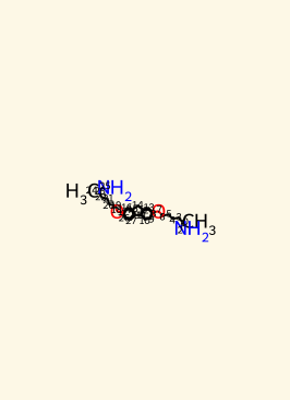 CC(N)CCCCOc1ccc2c(c1)Cc1cc(OCCCCC(C)N)ccc1-2